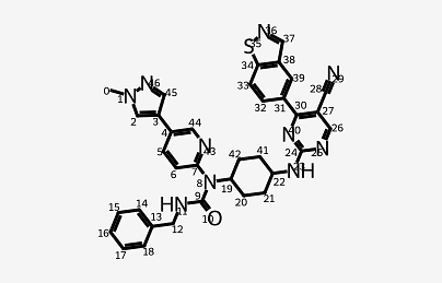 Cn1cc(-c2ccc(N(C(=O)NCc3ccccc3)C3CCC(Nc4ncc(C#N)c(-c5ccc6sncc6c5)n4)CC3)nc2)cn1